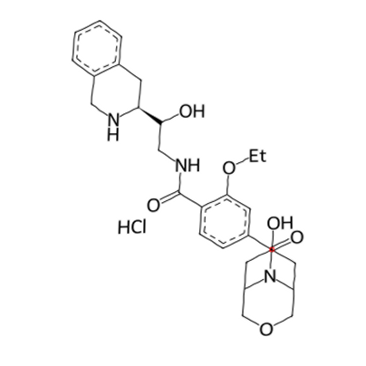 CCOc1cc(C(=O)N2C3COCC2CC(O)C3)ccc1C(=O)NCC(O)[C@@H]1Cc2ccccc2CN1.Cl